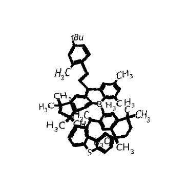 Cc1cc(C)c2c(c1)C(CCc1ccc(C(C)(C)C)cc1C)c1cc3c(cc1B2c1cc2c(cc1C(C)c1cccc4sc5ccccc5c14)C(C)(C)CCC2(C)C)C(C)(C)CC3(C)C